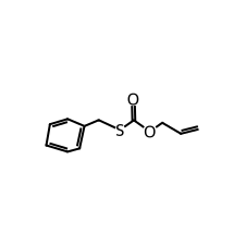 C=CCOC(=O)SCc1ccccc1